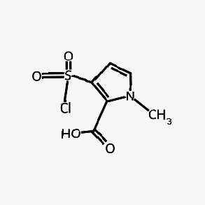 Cn1ccc(S(=O)(=O)Cl)c1C(=O)O